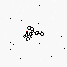 c1ccc(-c2ccc(-n3c4cc5c(cc4c4c6ccccc6ccc43)C3(c4ccccc4O5)c4ccccc4-c4ccccc43)cc2)cc1